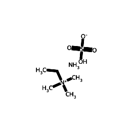 CC[N+](C)(C)C.N.O=S(=O)([O-])O